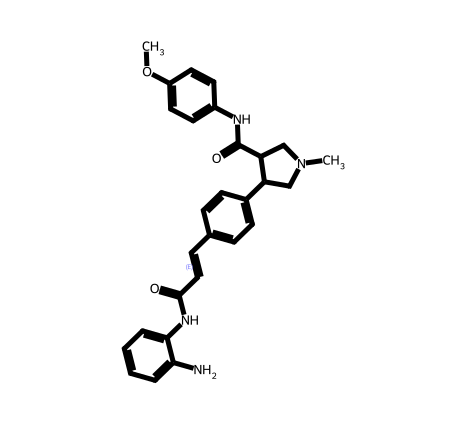 COc1ccc(NC(=O)C2CN(C)CC2c2ccc(/C=C/C(=O)Nc3ccccc3N)cc2)cc1